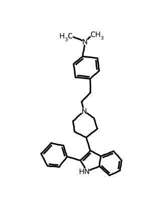 CN(C)c1ccc(CCN2CCC(c3c(-c4ccccc4)[nH]c4ccccc34)CC2)cc1